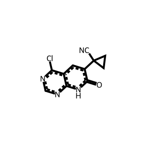 N#CC1(c2cc3c(Cl)ncnc3[nH]c2=O)CC1